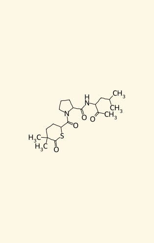 CC(=O)C(CC(C)C)NC(=O)C1CCCN1C(=O)C1CCC(C)(C)C(=O)S1